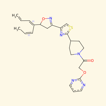 C=C/C=C(\C=C/C)C1CC(c2csc(C3CCN(C(=O)COc4ncccn4)CC3)n2)=NO1